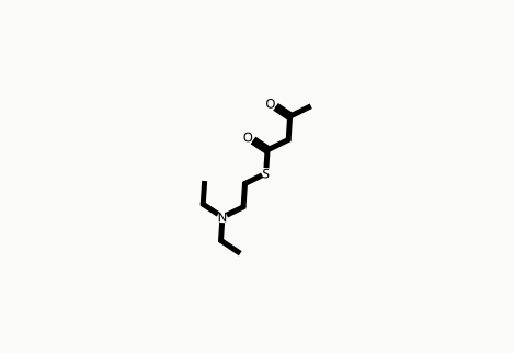 CCN(CC)CCSC(=O)CC(C)=O